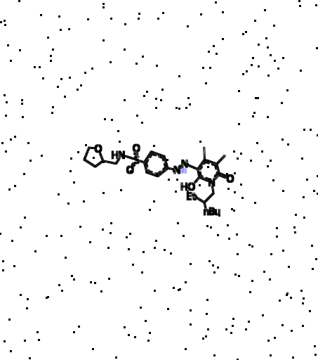 CCCCC(CC)Cn1c(O)c(/N=N/c2ccc(S(=O)(=O)NCC3CCCO3)cc2)c(C)c(C)c1=O